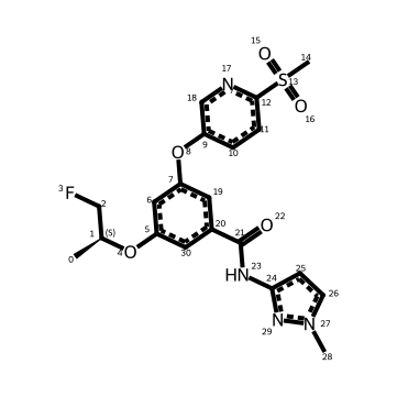 C[C@@H](CF)Oc1cc(Oc2ccc(S(C)(=O)=O)nc2)cc(C(=O)Nc2ccn(C)n2)c1